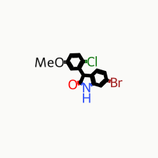 COc1ccc(Cl)c(C2C(=O)Nc3cc(Br)ccc32)c1